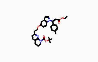 CCOC(=O)/C=C(\c1ccc(C)cc1)n1ccc2cc(OCCc3ccc4c(n3)N(C(=O)OC(C)(C)C)CCC4)ccc21